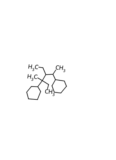 CCC(C(C)C1CCCCC1)C(C)(CC)C1CCCCC1